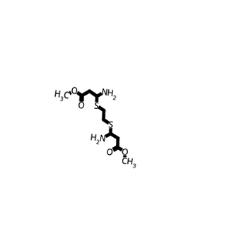 COC(=O)CC(N)SCCSC(N)CC(=O)OC